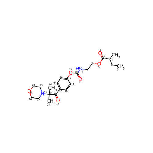 CCC(C)C(=O)OCCNC(=O)Oc1ccc(C(=O)C(C)(C)N2CCOCC2)cc1